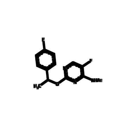 CC(=O)Nc1nc(OC(C)c2ccc(F)cc2)ncc1F